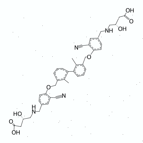 Cc1c(COc2ccc(CNC[C@@H](O)CC(=O)O)cc2C#N)cccc1-c1cccc(COc2ccc(CNC[C@@H](O)CC(=O)O)cc2C#N)c1C